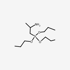 CCCO[Si](CC(C)N)(OCCC)OCCC